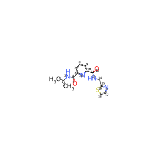 CC(C)NC(=O)c1cccc(C(=O)NCc2nccs2)n1